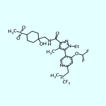 CCn1nc(C(=O)NCC2(O)CCC(S(C)(=O)=O)CC2)c(C)c1-c1cnc(C[C@@H](C)C(F)(F)F)cc1OC(F)F